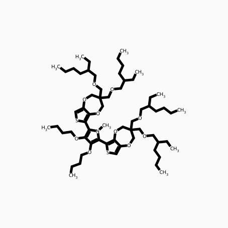 CCCCOc1c(OCCCC)c(-c2scc3c2OCC(COCC(CC)CCCC)(COCC(CC)CCCC)CO3)n(C)c1-c1scc2c1OCC(COCC(CC)CCCC)(COCC(CC)CCCC)CO2